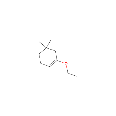 CCOC1=CCCC(C)(C)C1